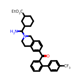 CCOC(=O)C1CCCC(C(N)N2CCc3cc(C(=O)c4ccccc4-c4ccc(C(F)(F)F)cc4)ccc3C2)C1